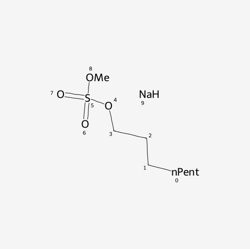 CCCCCCCCOS(=O)(=O)OC.[NaH]